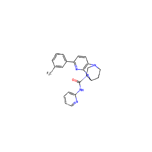 O=C(Nc1ccccn1)N1c2nc(-c3cccc(C(F)(F)F)c3)ccc2N2CCC1CC2